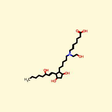 CCCCCC(O)C=CC1C(O)CC(O)C1CCCCCN(CC=CCCCC(=O)O)CCO